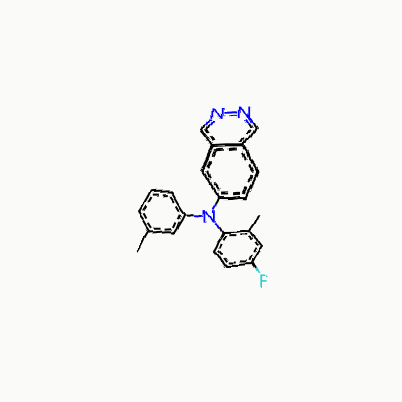 Cc1cccc(N(c2ccc3cnncc3c2)c2ccc(F)cc2C)c1